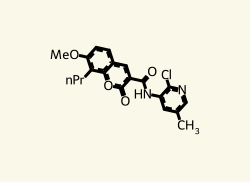 CCCc1c(OC)ccc2cc(C(=O)Nc3cc(C)cnc3Cl)c(=O)oc12